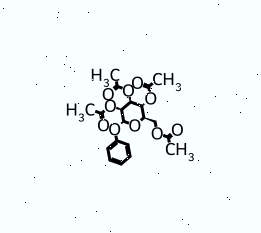 CC(=O)OC[C@H]1O[C@H](Oc2ccccc2)[C@@H](OC(C)=O)[C@@H](OC(C)=O)[C@@H]1OC(C)=O